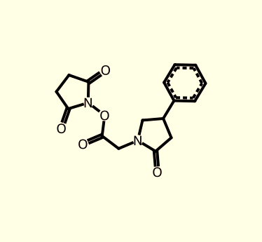 O=C(CN1CC(c2ccccc2)CC1=O)ON1C(=O)CCC1=O